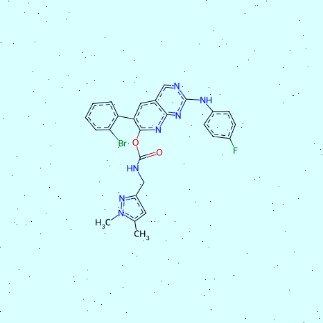 Cc1cc(CNC(=O)Oc2nc3nc(Nc4ccc(F)cc4)ncc3cc2-c2ccccc2Br)nn1C